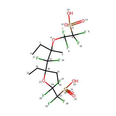 CCC(C)(OC(F)(F)C(F)(F)S(=O)(=O)O)C(F)(F)C(CC)(CC)OC(F)(F)C(F)(F)S(=O)(=O)O